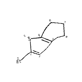 CCc1cc2c(s1)CCC2